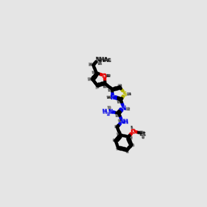 CCOc1ccccc1CN/C(N)=N/c1nc(-c2ccc(CNC(C)=O)o2)cs1